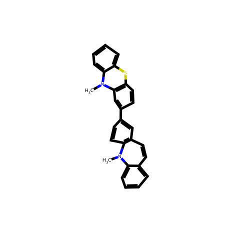 CN1c2ccccc2C=Cc2cc(-c3ccc4c(c3)N(C)c3ccccc3S4)ccc21